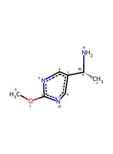 COc1ncc([C@@H](C)N)cn1